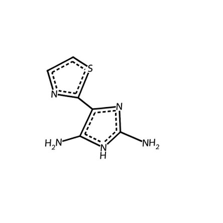 Nc1nc(-c2nccs2)c(N)[nH]1